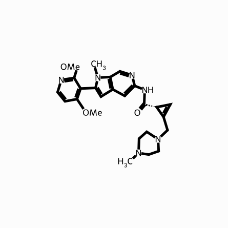 COc1ccnc(OC)c1-c1cc2cc(NC(=O)[C@@H]3C=C3CN3CCN(C)CC3)ncc2n1C